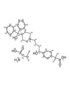 CC(C)(C(=O)O)c1ccc(C(O)CCCN2CCC(C(O)(c3ccccc3)c3ccccc3)CC2)cc1.CC(C)[C@H](N)C(=O)O